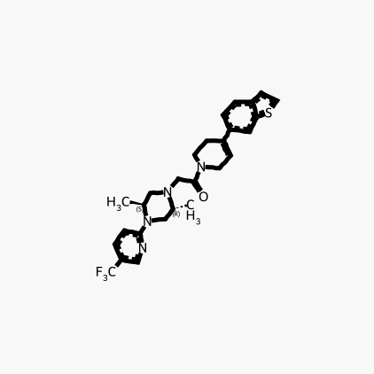 C[C@@H]1CN(c2ccc(C(F)(F)F)cn2)[C@@H](C)CN1CC(=O)N1CC=C(c2ccc3ccsc3c2)CC1